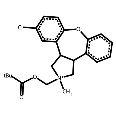 CC(C)(C)C(=O)OC[N+]1(C)CC2c3ccccc3Oc3ccc(Cl)cc3C2C1